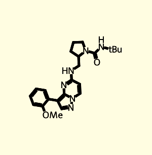 COc1ccccc1-c1cnn2ccc(NCC3CCCN3C(=O)NC(C)(C)C)nc12